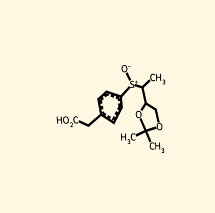 CC(C1COC(C)(C)O1)[S+]([O-])c1ccc(CC(=O)O)cc1